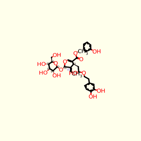 C/C=C1/[C@H](O[C@@H]2O[C@H](CO)[C@@H](O)[C@H](O)[C@H]2O)OC=C(C(=O)OC)[C@H]1CC(O)OCCc1ccc(O)c(O)c1.Oc1ccccc1